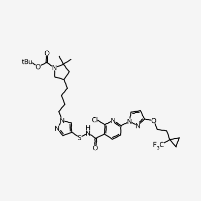 CC(C)(C)OC(=O)N1CC(CCCCn2cc(SNC(=O)c3ccc(-n4ccc(OCCC5(C(F)(F)F)CC5)n4)nc3Cl)cn2)CC1(C)C